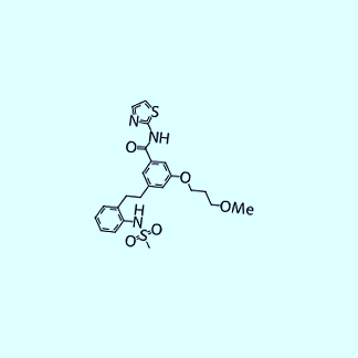 COCCCOc1cc(CCc2ccccc2NS(C)(=O)=O)cc(C(=O)Nc2nccs2)c1